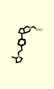 CC1CCCN1CCc1ccc(C2CCC3CN(CC=O)CC32)cc1